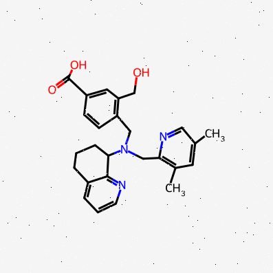 Cc1cnc(CN(Cc2ccc(C(=O)O)cc2CO)C2CCCc3cccnc32)c(C)c1